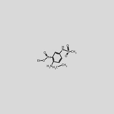 CC.CCO[PH](=O)c1cc(NS(C)(=O)=O)ccc1N